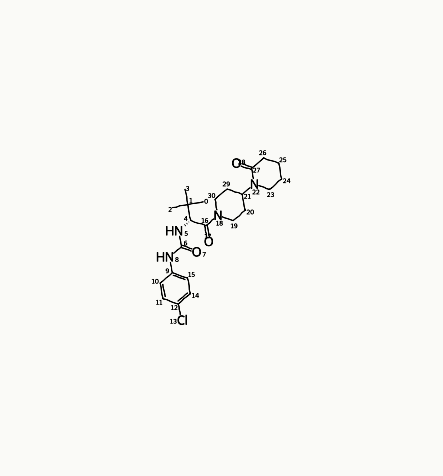 CC(C)(C)[C@@H](NC(=O)Nc1ccc(Cl)cc1)C(=O)N1CCC(N2CCCCC2=O)CC1